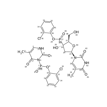 Cc1c[nH]c(=O)n([PH](=O)Oc2ccccc2Cl)c1=O.Cc1cn([C@H]2C[C@@](O)([PH](=O)Oc3ccccc3Cl)[C@@H](CO)O2)c(=O)[nH]c1=O